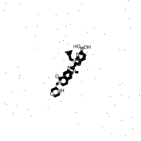 Cn1c(-c2cc3ccc(B(O)O)nc3n2CC2CC2)nc2cc3c(cc21)CCN(C[C@H]1COCCN1)C3=O